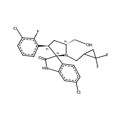 O=C1Nc2cc(Cl)ccc2[C@@]12[C@@H](c1cccc(Cl)c1F)C[C@H](CO)N2CC1CC1(F)F